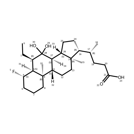 CC[C@@H]1[C@@H]2[C@@H](F)CCC[C@]2(C)[C@H]2CC[C@]3(C)[C@@H]([C@H](C)CCC(=O)O)CC[C@H]3[C@@H]2C1(O)O